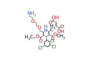 CCOC(=O)C1=C(COCCOCCN)NC(C)=C(C(=O)OC)[C@H]1c1cc(Cl)cc(Cl)c1Cl.O=C(O)/C=C/C(=O)O